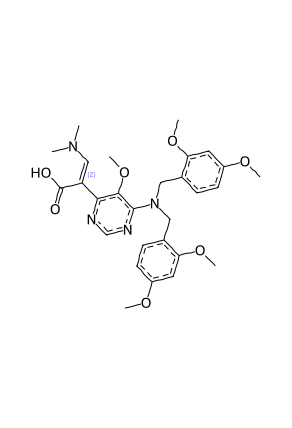 COc1ccc(CN(Cc2ccc(OC)cc2OC)c2ncnc(/C(=C/N(C)C)C(=O)O)c2OC)c(OC)c1